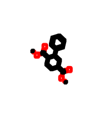 COC(=O)C1CCC(C(=O)OC)C(c2ccccc2)C1